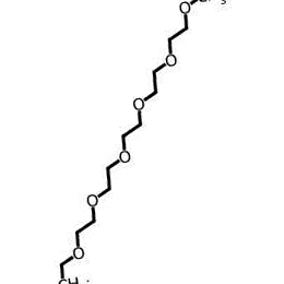 [CH2]COCCOCCOCCOCCOCCOC